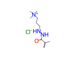 C=C(C)C(=O)NNCCC[N+](C)(C)C.[Cl-]